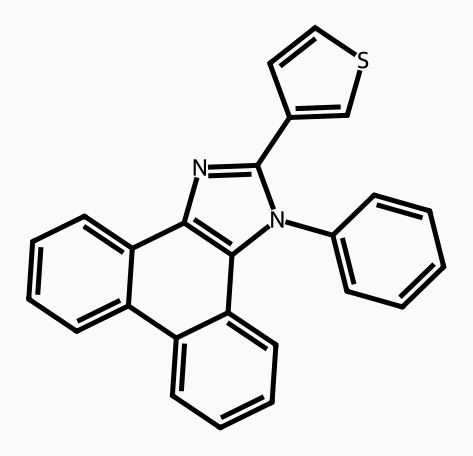 c1ccc(-n2c(-c3ccsc3)nc3c4ccccc4c4ccccc4c32)cc1